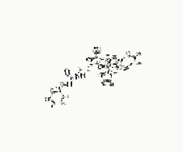 C[C@](CCCCNC(=O)OCc1ccccc1)(C(=O)O)N(Cc1ccccc1)S(=O)(=O)c1cccs1